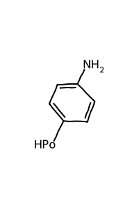 Nc1cc[c]([PoH])cc1